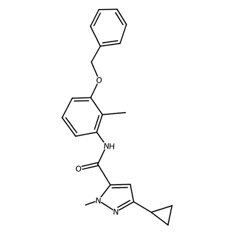 Cc1c(NC(=O)c2cc(C3CC3)nn2C)cccc1OCc1ccccc1